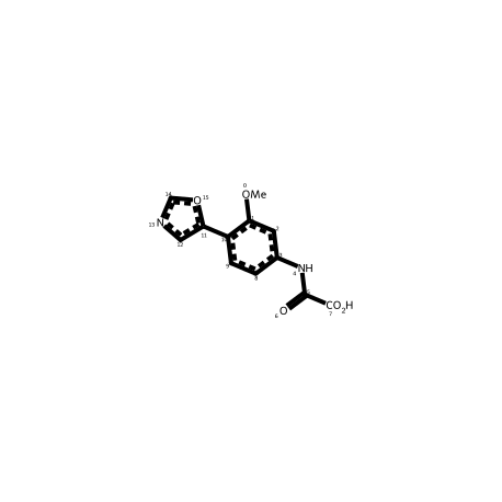 COc1cc(NC(=O)C(=O)O)ccc1-c1cnco1